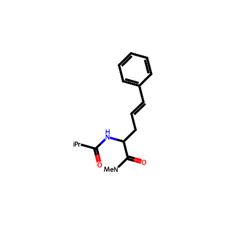 CNC(=O)C(C/C=C/c1ccccc1)NC(=O)C(C)C